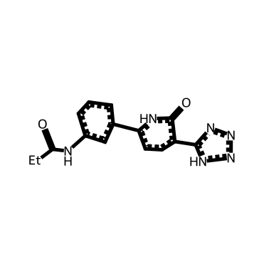 CCC(=O)Nc1cccc(-c2ccc(-c3nnn[nH]3)c(=O)[nH]2)c1